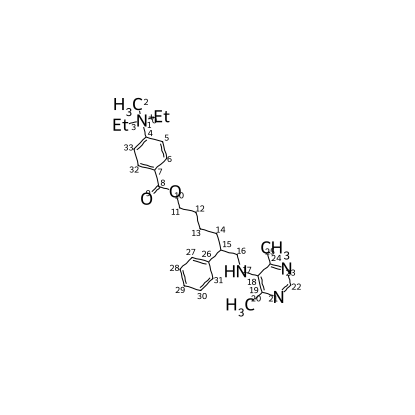 CC[N+](C)(CC)c1ccc(C(=O)OCCCCC(CNc2c(C)ncnc2C)c2ccccc2)cc1